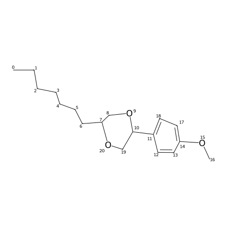 CCCCCCCC1COC(c2ccc(OC)cc2)CO1